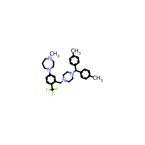 Cc1ccc(C(c2ccc(C)cc2)N2CCN(Cc3cc(N4CCCN(C)CC4)ccc3C(F)(F)F)CC2)cc1